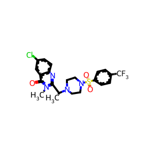 CC(c1nc2ccc(Cl)cc2c(=O)n1C)N1CCN(S(=O)(=O)c2ccc(C(F)(F)F)cc2)CC1